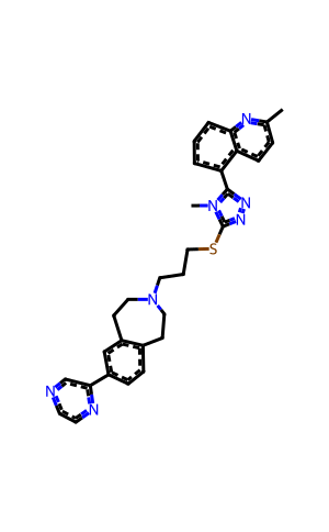 Cc1ccc2c(-c3nnc(SCCCN4CCc5ccc(-c6cnccn6)cc5CC4)n3C)cccc2n1